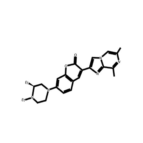 CC[C@H]1CN(c2ccc3cc(-c4cn5cc(C)nc(C)c5n4)c(=O)oc3c2)CCN1CC